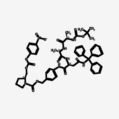 C[C@H](NC(=O)OC(C)(C)C)C(=O)N[C@@H](C)C(=O)N[C@@H](CC(=O)NC(c1ccccc1)(c1ccccc1)c1ccccc1)C(=O)Nc1ccc(COC(=O)N2CCC[C@H]2COC(=O)Oc2ccc([N+](=O)[O-])cc2)cc1